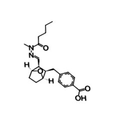 CCCCC(=O)N(C)N=C[C@H]1[C@@H](Cc2ccc(C(=O)O)cc2)[C@H]2CC[C@@H]1O2